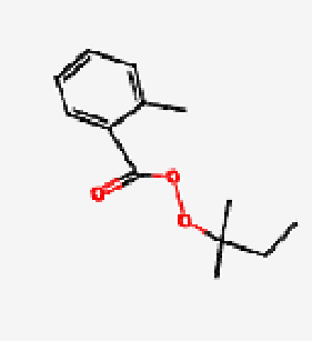 CCC(C)(C)OOC(=O)c1ccccc1C